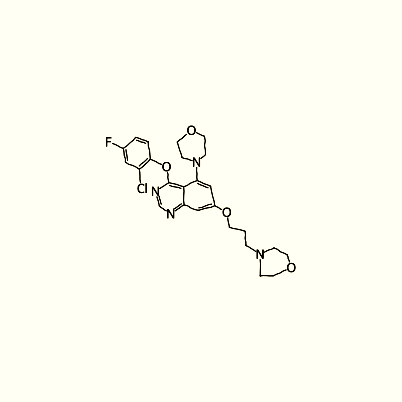 Fc1ccc(Oc2ncnc3cc(OCCCN4CCOCC4)cc(N4CCOCC4)c23)c(Cl)c1